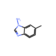 CC1=C=C=c2ncn(N)c2=C1